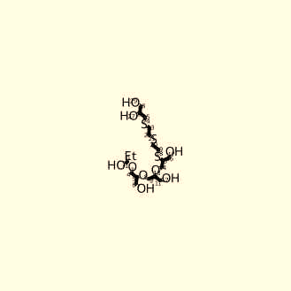 CCC(O)OCC(CO)OCC(CO)OCC(CO)SCCSCCSCC(O)CO